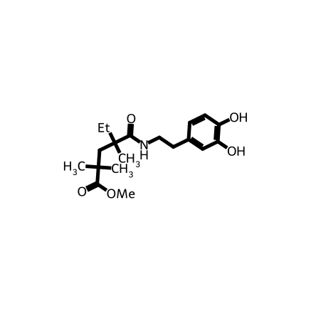 CCC(C)(CC(C)(C)C(=O)OC)C(=O)NCCc1ccc(O)c(O)c1